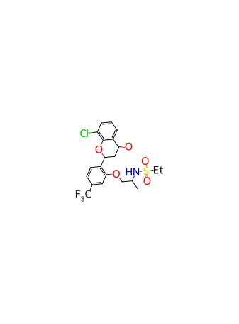 CCS(=O)(=O)NC(C)COc1cc(C(F)(F)F)ccc1C1CC(=O)c2cccc(Cl)c2O1